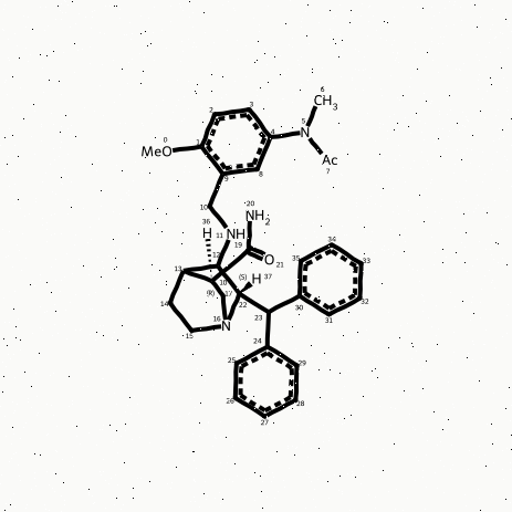 COc1ccc(N(C)C(C)=O)cc1CNC1C2CCN(C[C@@H]2C(N)=O)[C@H]1C(c1ccccc1)c1ccccc1